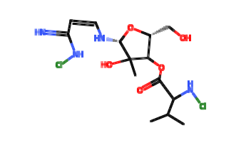 CC(C)C(NCl)C(=O)OC1[C@@H](CO)O[C@@H](N/C=C\C(=N)NCl)C1(C)O